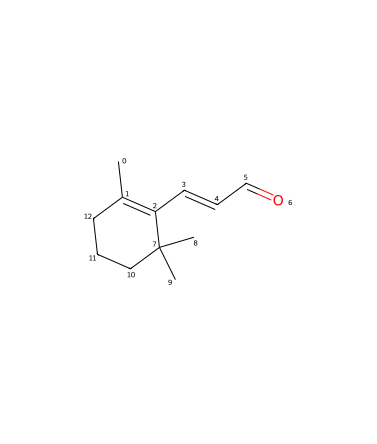 CC1=C(C=CC=O)C(C)(C)CCC1